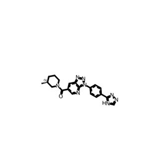 C[C@H]1CCCN(C(=O)c2cnc3c(c2)nnn3-c2ccc(-c3nnc[nH]3)cc2)C1